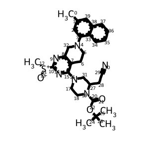 Cc1cc(N2CCc3c(nc([S+](C)[O-])nc3N3CCN(C(=O)OC(C)(C)C)C(CC#N)C3)C2)c2ccccc2c1